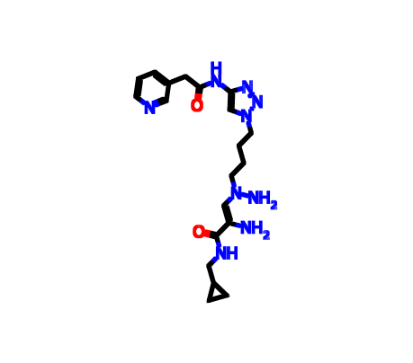 N/C(=C\N(N)CCCCn1cc(NC(=O)Cc2cccnc2)nn1)C(=O)NCC1CC1